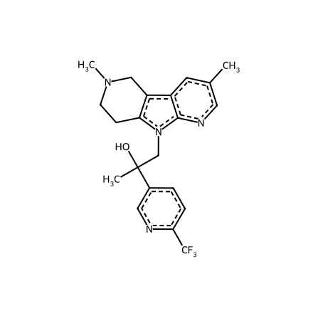 Cc1cnc2c(c1)c1c(n2CC(C)(O)c2ccc(C(F)(F)F)nc2)CCN(C)C1